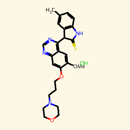 COc1cc2c(C3C(=S)Nc4ccc(C)cc43)ncnc2cc1OCCCN1CCOCC1.Cl